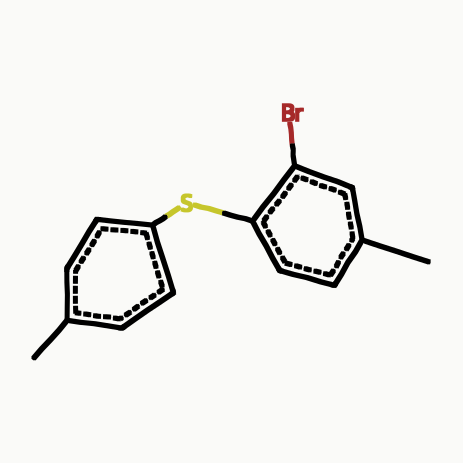 Cc1ccc(Sc2ccc(C)cc2Br)cc1